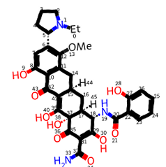 CCN1CCC[C@H]1c1cc(O)c2c(c1OC)C[C@H]1C[C@H]3[C@H](NC(=O)c4ccccc4O)C(O)=C(C(N)=O)C(=O)[C@@]3(O)C(O)=C1C2=O